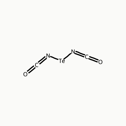 O=C=N[Te]N=C=O